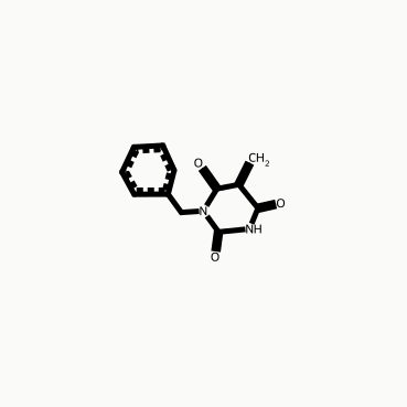 C=C1C(=O)NC(=O)N(Cc2ccccc2)C1=O